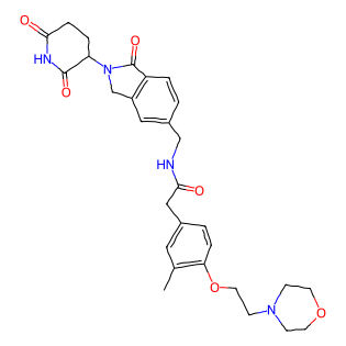 Cc1cc(CC(=O)NCc2ccc3c(c2)CN(C2CCC(=O)NC2=O)C3=O)ccc1OCCN1CCOCC1